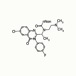 CCCCCCCCCC(=O)N(CCN(C)C)C(C)c1nc2ccc(Cl)cc2c(=O)n1-c1ccc(F)cc1